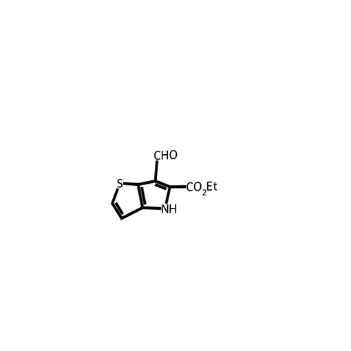 CCOC(=O)c1[nH]c2ccsc2c1C=O